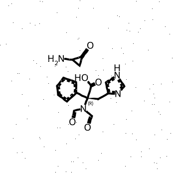 NC1CC1=O.O=CN(C=O)[C@@](Cc1c[nH]cn1)(C(=O)O)c1ccccc1